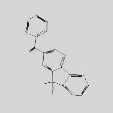 CCCC1(CCC)c2ccccc2-c2ccc(C(=O)c3ccccc3)cc21